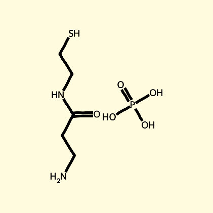 NCCC(=O)NCCS.O=P(O)(O)O